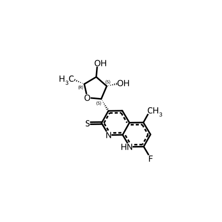 Cc1cc(F)[nH]c2nc(=S)c([C@@H]3O[C@H](C)C(O)[C@@H]3O)cc1-2